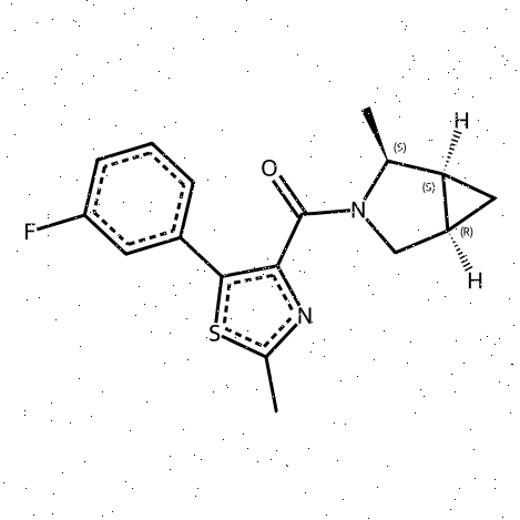 Cc1nc(C(=O)N2C[C@@H]3C[C@@H]3[C@@H]2C)c(-c2cccc(F)c2)s1